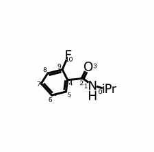 CC(C)NC(=O)c1c[c]ccc1F